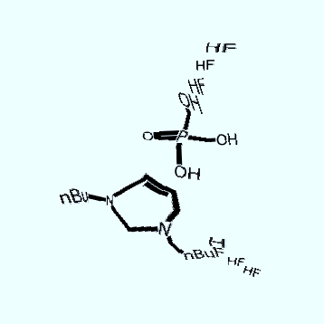 CCCCN1C=CN(CCCC)C1.F.F.F.F.F.F.O=P(O)(O)O